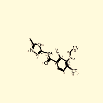 Cc1nnc(NC(=O)c2ccc(C(F)(F)F)c(SCC#N)c2F)o1